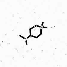 CN(C)C1CC[N+](C)(C)CC1